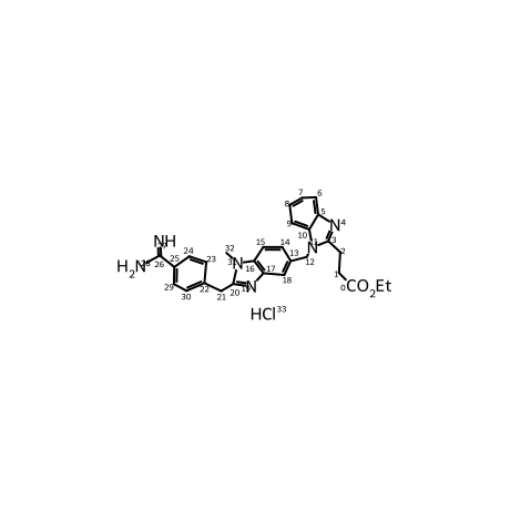 CCOC(=O)CCc1nc2ccccc2n1Cc1ccc2c(c1)nc(Cc1ccc(C(=N)N)cc1)n2C.Cl